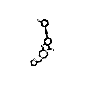 O=c1c2ccc(C#Cc3cccc(F)c3)cc2nc2n1CCN(CC1CCCO1)CC2